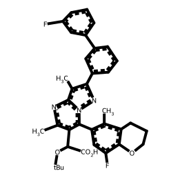 Cc1nc2c(C)c(-c3cccc(-c4cccc(F)c4)c3)nn2c(-c2cc(F)c3c(c2C)CCCO3)c1C(OC(C)(C)C)C(=O)O